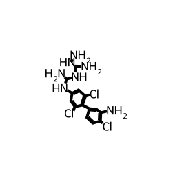 NNC(N)NC(N)Nc1cc(Cl)c(-c2ccc(Cl)c(N)c2)c(Cl)c1